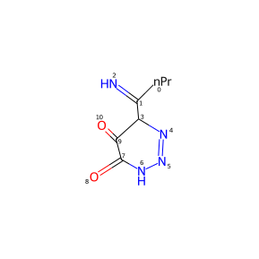 CCCC(=N)C1N=NNC(=O)C1=O